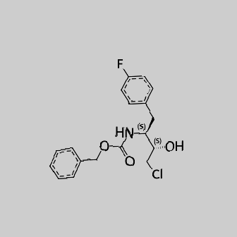 O=C(N[C@@H](Cc1ccc(F)cc1)[C@H](O)CCl)OCc1ccccc1